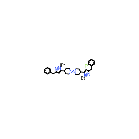 CCn1nc(Cc2ccccc2F)cc1C1CCN(N2CCC(c3cc(Cc4ccccc4)nn3C(C)C)CC2)CC1